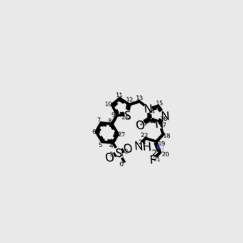 CS(=O)(=O)c1cccc(-c2ccc(Cn3cnn(C/C(=C/F)CN)c3=O)s2)c1